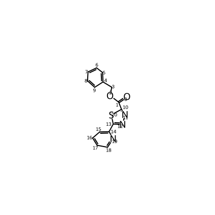 O=C(OCc1ccccc1)c1nnc(-c2ccccn2)s1